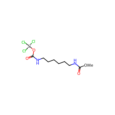 COC(=O)NCCCCCCNC(=O)O[Si](Cl)(Cl)Cl